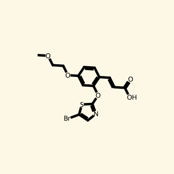 COCCOc1ccc(C=CC(=O)O)c(Oc2ncc(Br)s2)c1